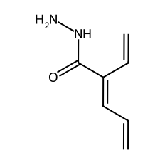 C=C/C=C(\C=C)C(=O)NN